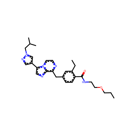 CCCOCCNC(=O)c1ccc(Cc2nccn3c(-c4cnn(CC(C)C)c4)cnc23)cc1CC